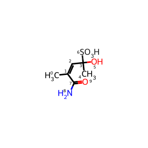 CC(=CC(C)(O)S(=O)(=O)O)C(N)=O